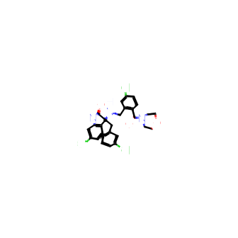 O=C(c1ccc(Cl)cc1CNC1(Cc2cccc(Cl)c2)C(=O)Nc2cc(Cl)ccc21)N1CCOCC1